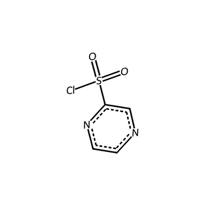 O=S(=O)(Cl)c1cnccn1